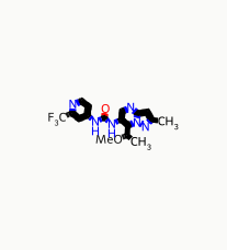 COC(C)c1c(NC(=O)Nc2ccnc(C(F)(F)F)c2)cnc2cc(C)nn12